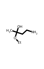 CCOC(C)(O)CCN